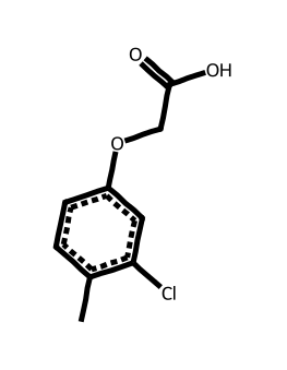 Cc1ccc(OCC(=O)O)cc1Cl